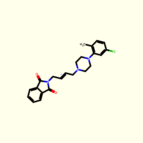 Cc1ccc(Cl)cc1N1CCN(C/C=C/CN2C(=O)c3ccccc3C2=O)CC1